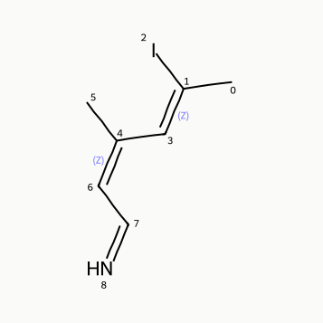 C/C(I)=C/C(C)=C\C=N